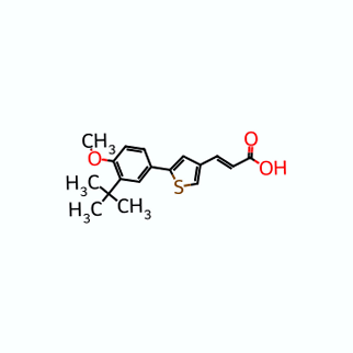 COc1ccc(-c2cc(/C=C/C(=O)O)cs2)cc1C(C)(C)C